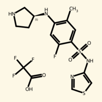 Cc1cc(S(=O)(=O)Nc2cscn2)c(F)cc1N[C@H]1CCNC1.O=C(O)C(F)(F)F